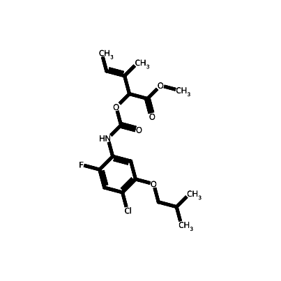 CC=C(C)C(OC(=O)Nc1cc(OCC(C)C)c(Cl)cc1F)C(=O)OC